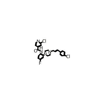 O=C(Nc1ccc(F)cc1N1CCN(CC=Cc2ccc(Cl)cc2)CC1)c1ccnc(Cl)c1